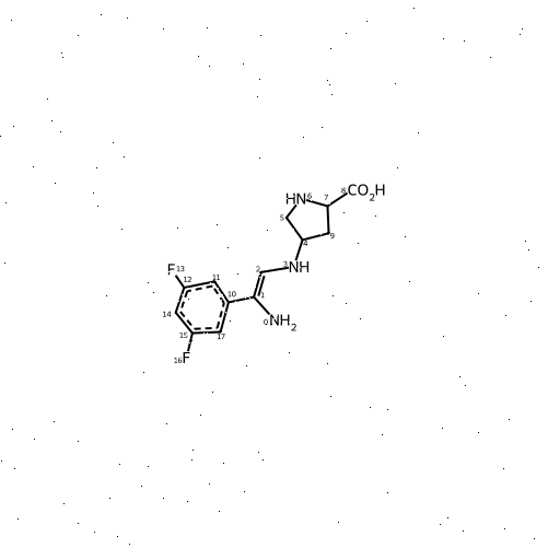 N/C(=C\NC1CNC(C(=O)O)C1)c1cc(F)cc(F)c1